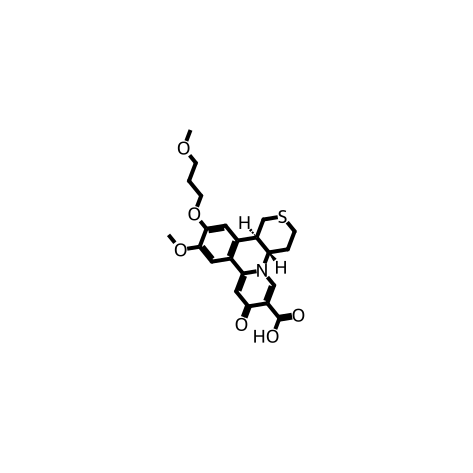 COCCCOc1cc2c(cc1OC)-c1cc(=O)c(C(=O)O)cn1[C@H]1CCSC[C@H]21